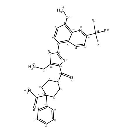 COc1ccc(-c2nc(C(=O)N3CCC(C(N)=O)(c4ccccc4)CC3)c(CN)o2)c2ccc(C(F)(F)F)nc12